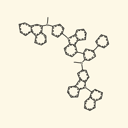 CN(c1ccc2c(c1)c1ccccc1n2-c1cccc2ccccc12)c1ccc(-c2ccccc2)cc1-c1cccc2c1c1ccccc1n2-c1ccc(N(C)c2cc3ccccc3c3ccccc23)cc1